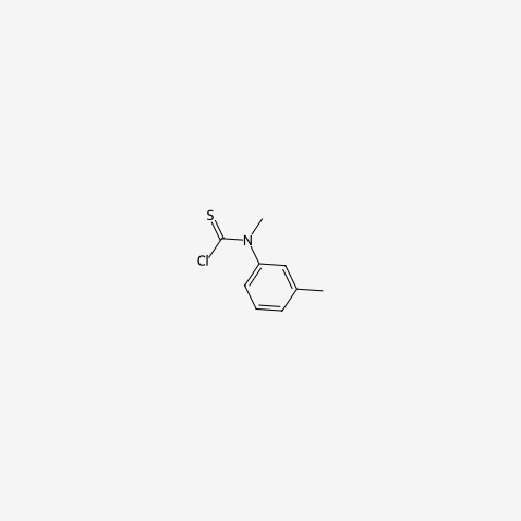 Cc1cccc(N(C)C(=S)Cl)c1